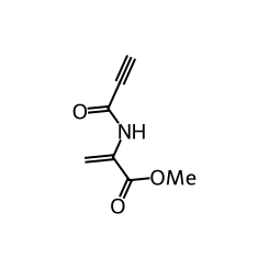 C#CC(=O)NC(=C)C(=O)OC